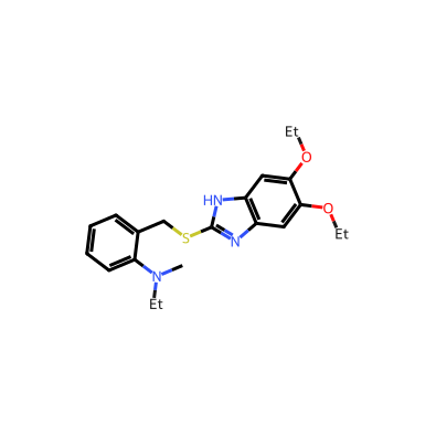 CCOc1cc2nc(SCc3ccccc3N(C)CC)[nH]c2cc1OCC